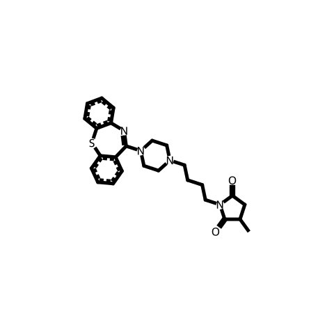 CC1CC(=O)N(CCCCN2CCN(C3=Nc4ccccc4Sc4ccccc43)CC2)C1=O